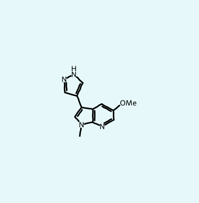 COc1cnc2c(c1)c(-c1cn[nH]c1)cn2C